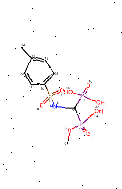 COP(=O)(O)C(NS(=O)(=O)c1ccc(C)cc1)P(=O)(O)O